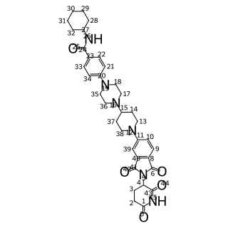 O=C1CCC(N2C(=O)c3ccc(N4CCC(N5CCN(c6ccc(C(=O)NC7CCCCC7)cc6)CC5)CC4)cc3C2=O)C(=O)N1